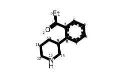 CCC(=O)c1ccccc1C1CCCNC1